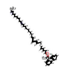 CCCC/C=C/CCCCCCC/C=C/CCCCCCCCCCCCCCCCCCCCCCO[Si](c1ccccc1)(c1ccccc1)C(C)(C)C